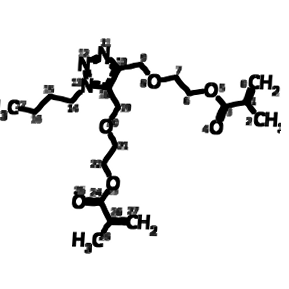 C=C(C)C(=O)OCCOCc1nnn(CCCC)c1COCCOC(=O)C(=C)C